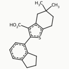 CC1(C)CCc2sc(-c3cccc4c3CCC4)c(C(=O)O)c2C1